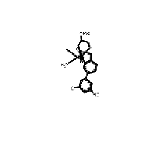 [C-]#[N+]c1cc(Cl)cc(-c2ccc3c(c2)C2(N=C(N)N(C)C2=O)C2(CCC(OC)CC2)C3)c1